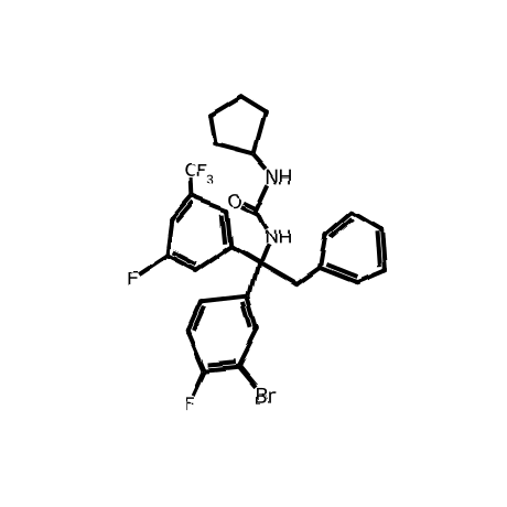 O=C(NC1CCCC1)NC(Cc1ccccc1)(c1cc(F)cc(C(F)(F)F)c1)c1ccc(F)c(Br)c1